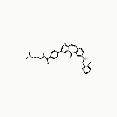 Cc1cccnc1CNc1ccc2ccc3ncc(-c4ccc(C(=O)NCCCN(C)C)cc4)cc3c(=O)c2c1